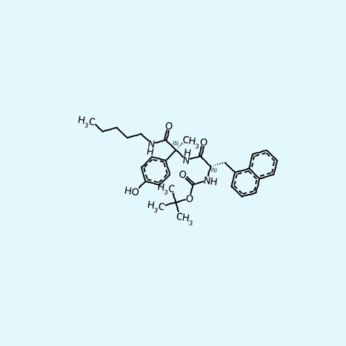 CCCCCNC(=O)[C@@](C)(NC(=O)[C@H](Cc1cccc2ccccc12)NC(=O)OC(C)(C)C)c1ccc(O)cc1